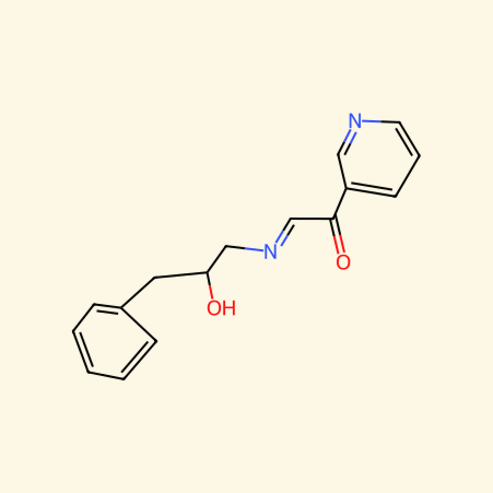 O=C(C=NCC(O)Cc1ccccc1)c1cccnc1